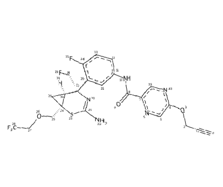 C#CCOc1cnc(C(=O)Nc2ccc(F)c([C@@]3(CF)N=C(N)S[C@@]4(COCC(F)(F)F)C[C@H]43)c2)cn1